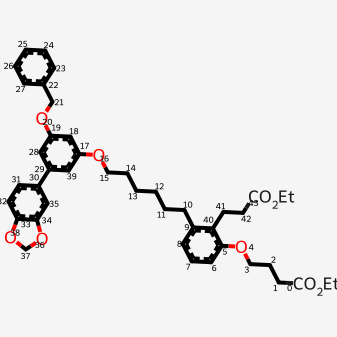 CCOC(=O)CCCOc1cccc(CCCCCCOc2cc(OCc3ccccc3)cc(-c3ccc4c(c3)OCO4)c2)c1CCC(=O)OCC